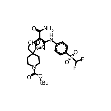 CC(C)(C)OC(=O)N1CCC(CC=O)(n2cc(C(N)=O)c(Nc3ccc(S(=O)(=O)C(F)F)cc3)n2)CC1